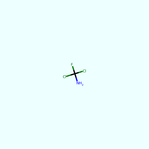 NC(F)(Cl)Cl